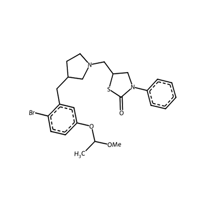 COC(C)Oc1ccc(Br)c(CC2CCN(CC3CN(c4ccccc4)C(=O)S3)C2)c1